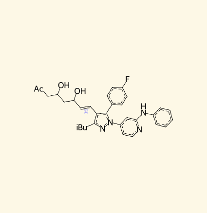 CCC(C)c1nn(-c2ccnc(Nc3ccccc3)c2)c(-c2ccc(F)cc2)c1/C=C/C(O)CC(O)CC(C)=O